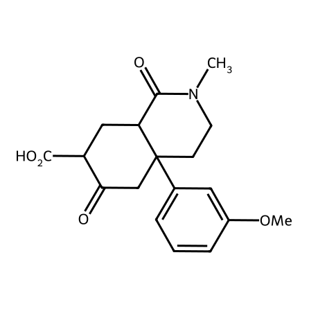 COc1cccc(C23CCN(C)C(=O)C2CC(C(=O)O)C(=O)C3)c1